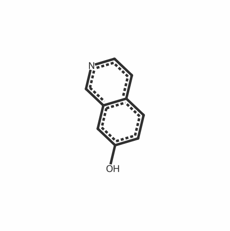 Oc1ccc2ccncc2c1